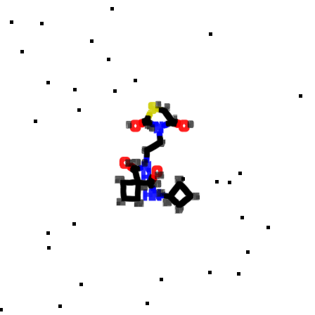 O=C1CSC(=O)N1CCNC(=O)C1(C(=O)NC2CCC2)CCC1